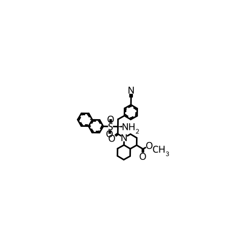 COC(=O)C1CCN(C(=O)[C@@](N)(Cc2cccc(C#N)c2)S(=O)(=O)c2ccc3ccccc3c2)C2CCCCC12